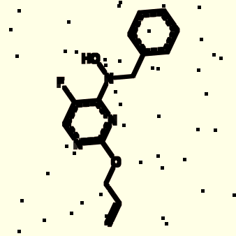 C=CCOc1ncc(F)c(N(O)Cc2ccccc2)n1